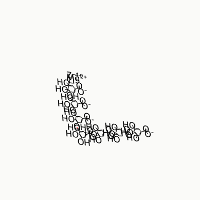 O=C([O-])c1cc(O)c(O)c(O)c1.O=C([O-])c1cc(O)c(O)c(O)c1.O=C([O-])c1cc(O)c(O)c(O)c1.O=C([O-])c1cc(O)c(O)c(O)c1.O=C([O-])c1cc(O)c(O)c(O)c1.O=C([O-])c1cc(O)c(O)c(O)c1.O=C([O-])c1cc(O)c(O)c(O)c1.[Li+].[Mg+2].[Zr+4]